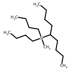 CCCCC(CCCC)[Si](C)(CCCC)CCCC